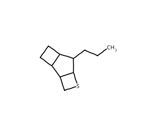 CCCC1C2CCC2C2CSC12